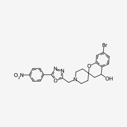 O=[N+]([O-])c1ccc(-c2nnc(CN3CCC4(CC3)CC(O)c3ccc(Br)cc3O4)o2)cc1